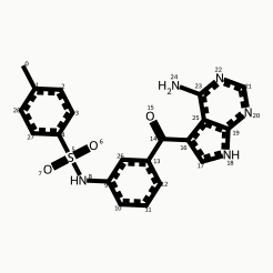 Cc1ccc(S(=O)(=O)Nc2cccc(C(=O)c3c[nH]c4ncnc(N)c34)c2)cc1